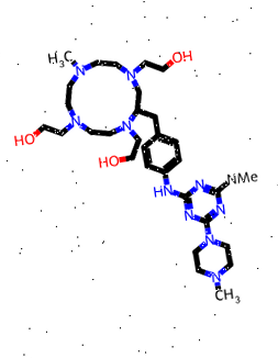 CNc1nc(Nc2ccc(CC3CN(CCO)CCN(C)CCN(CCO)CCN3CCO)cc2)nc(N2CCN(C)CC2)n1